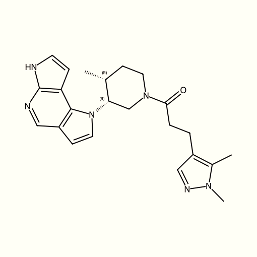 Cc1c(CCC(=O)N2CC[C@@H](C)[C@@H](n3ccc4cnc5[nH]ccc5c43)C2)cnn1C